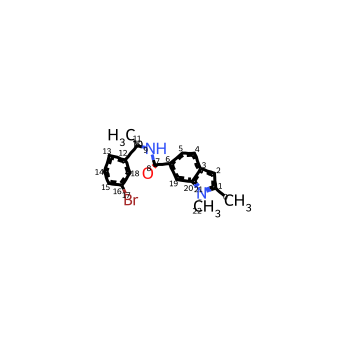 Cc1cc2ccc(C(=O)N[C@@H](C)c3cccc(Br)c3)cc2n1C